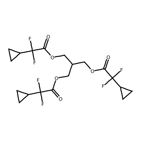 O=C(OCC(COC(=O)C(F)(F)C1CC1)COC(=O)C(F)(F)C1CC1)C(F)(F)C1CC1